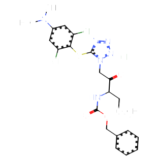 CN(C)c1cc(Cl)c(Sc2nnnn2CC(=O)C(CC(=O)O)NC(=O)OCc2ccccc2)c(Cl)c1.Cl